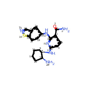 NC(=O)c1ccc(N[C@@H]2CCCC[C@@H]2N)nc1Nc1ccc2sncc2c1